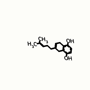 CC(C)=CCCC1=CCc2c(O)ccc(O)c2C1